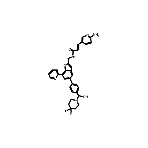 Nc1ccc(/C=C/C(=O)NCc2cc3cc(-c4ccc(C(O)N5CCC(F)(F)CC5)cc4)cc(-c4ccccn4)c3o2)cn1